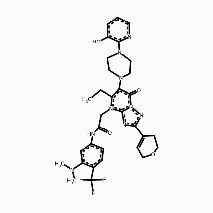 CCc1c(N2CCN(c3ncccc3O)CC2)c(=O)n2nc(C3=CCOCC3)nc2n1CC(=O)Nc1ccc(C(F)(F)F)c(N(C)C)c1